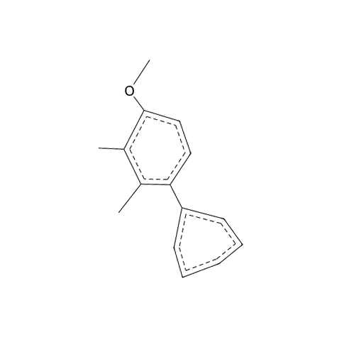 COc1ccc(-c2ccccc2)c(C)c1C